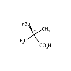 CCCC[C@@](C)(C(=O)O)C(F)(F)F